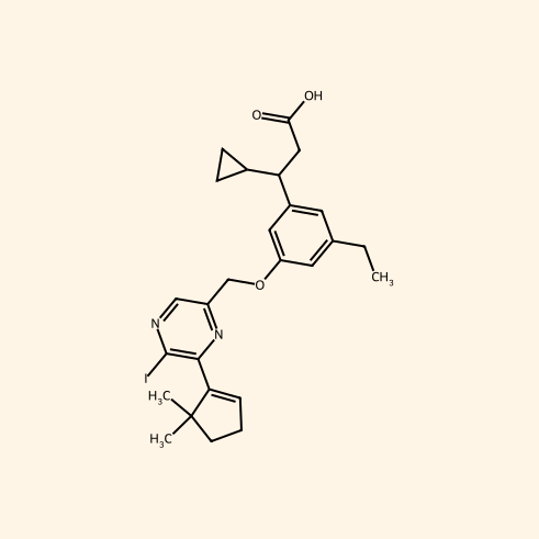 CCc1cc(OCc2cnc(I)c(C3=CCCC3(C)C)n2)cc(C(CC(=O)O)C2CC2)c1